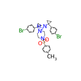 Cc1ccc(S(=O)(=O)N2CCN(C3(c4ccc(Br)cc4)CC3)CC2)cc1.NC1(c2ccc(Br)cc2)CC1